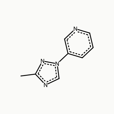 Cc1ncn(-c2cccnc2)n1